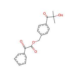 CC(C)(O)C(=O)c1ccc(COC(=O)C(=O)c2ccccc2)cc1